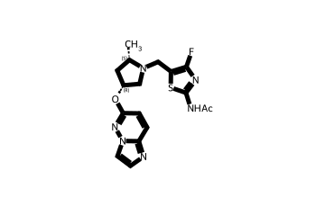 CC(=O)Nc1nc(F)c(CN2C[C@H](Oc3ccc4nccn4n3)C[C@@H]2C)s1